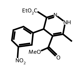 CCOC(=O)C1=NNC(C)=C(C(=O)OC)C1c1cccc([N+](=O)[O-])c1